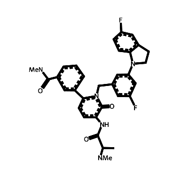 CNC(=O)c1cccc(-c2ccc(NC(=O)C(C)NC)c(=O)n2Cc2cc(F)cc(N3CCc4cc(F)ccc43)c2)c1